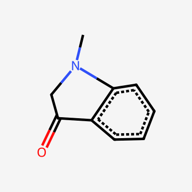 CN1CC(=O)c2ccccc21